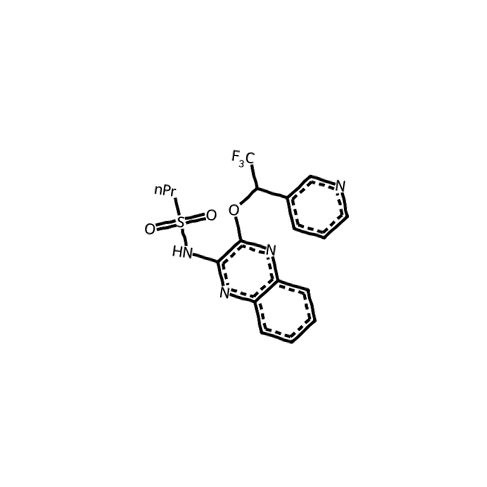 CCCS(=O)(=O)Nc1nc2ccccc2nc1OC(c1cccnc1)C(F)(F)F